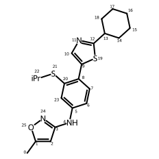 Cc1cc(Nc2ccc(-c3cnc(C4CCCCC4)s3)c(SC(C)C)c2)no1